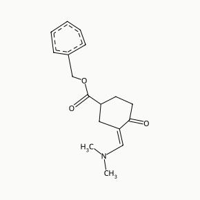 CN(C)C=C1CC(C(=O)OCc2ccccc2)CCC1=O